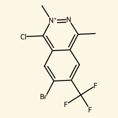 Cc1n[n+](C)c(Cl)c2cc(Br)c(C(F)(F)F)cc12